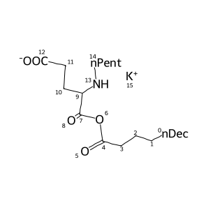 CCCCCCCCCCCCCC(=O)OC(=O)C(CCC(=O)[O-])NCCCCC.[K+]